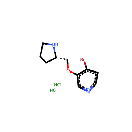 Brc1ccncc1OC[C@@H]1CCCN1.Cl.Cl